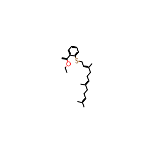 C=C(OCC)c1ccccc1SC/C=C(\C)CC/C=C(\C)CCC=C(C)C